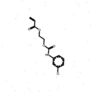 C=CC(=O)OCCOC(=O)Nc1cccc(Cl)c1